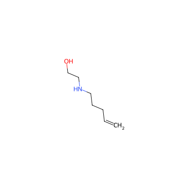 C=CCCCNCCO